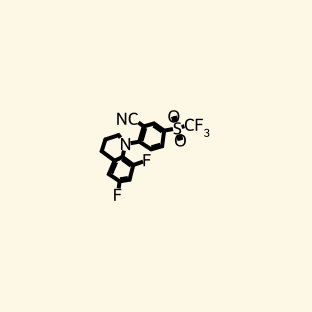 N#Cc1cc(S(=O)(=O)C(F)(F)F)ccc1N1CCCc2cc(F)cc(F)c21